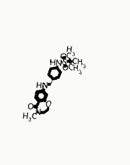 CN1CCOc2cc(NC[C@H]3CC[C@H](NS(=O)(=O)C(C)(C)C)CC3)ccc2C1=O